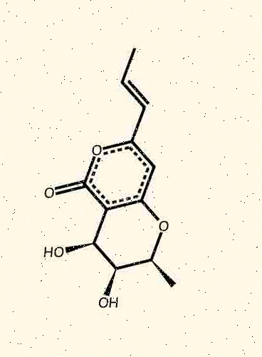 C/C=C/c1cc2c(c(=O)o1)[C@H](O)[C@H](O)[C@H](C)O2